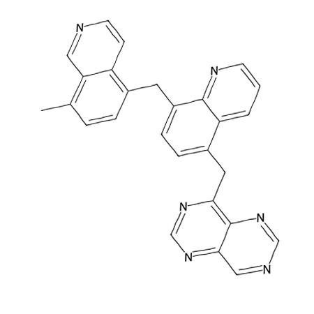 Cc1ccc(Cc2ccc(Cc3ncnc4cncnc34)c3cccnc23)c2ccncc12